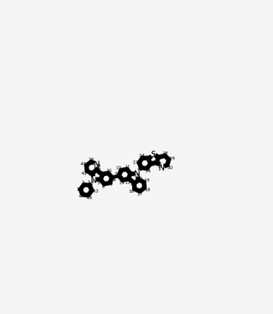 c1ccc(-n2c3ccc(-c4ccc5c(c4)c4ccccc4n5-c4ccc5sc6cccnc6c5c4)cc3c3ncccc32)cc1